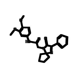 COc1ccc(NC(=O)CN2C(=O)C(c3ccccc3)=NC23CCCC3)cc1OC